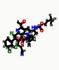 CC(=O)c1nc2c(F)c(-c3cccc(Cl)c3Cl)c(CCC#N)cc2c2c1cc(C(C)NC(=O)OCC[Si](C)(C)C)n2[C@H]1[C@@H]2C[C@H]1N(C(=O)O)C2